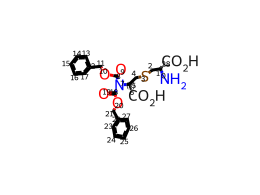 NC(CSC[C@@H](C(=O)O)N(C(=O)OCc1ccccc1)C(=O)OCc1ccccc1)C(=O)O